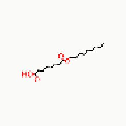 CCCCCC=CCCOC(=O)CCCCCCC(=O)O